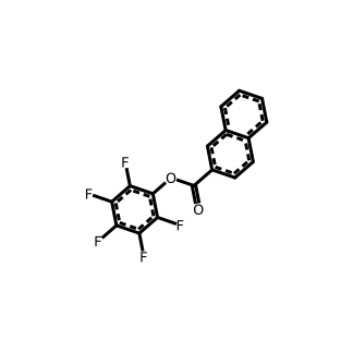 O=C(Oc1c(F)c(F)c(F)c(F)c1F)c1ccc2ccccc2c1